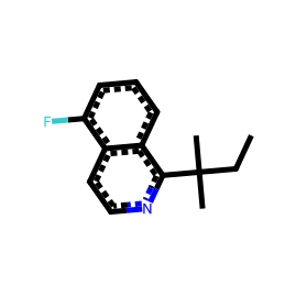 CCC(C)(C)c1nccc2c(F)cccc12